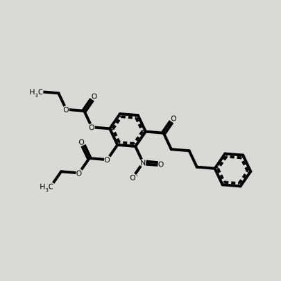 CCOC(=O)Oc1ccc(C(=O)CCCc2ccccc2)c([N+](=O)[O-])c1OC(=O)OCC